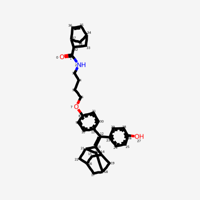 O=C(NCCCCOc1ccc(C(=C2C3CC4CC(C3)CC2C4)c2ccc(O)cc2)cc1)C1CC2C=CC1C2